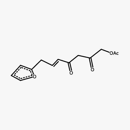 CC(=O)OCC(=O)CC(=O)/C=C/Cc1ccco1